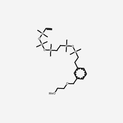 C=C[Si](C)(C)O[Si](C)(C)O[Si](C)(C)CC[Si](C)(C)O[Si](C)(C)CCc1cccc(COCCOC)c1